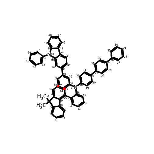 CC1(C)c2ccccc2-c2c(-c3ccccc3N(c3ccc(-c4ccc(-c5ccccc5)cc4)cc3)c3cccc(-c4ccc5c6ccccc6n(-c6ccccc6)c5c4)c3)cccc21